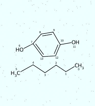 CCCCCC.Oc1ccc(O)cc1